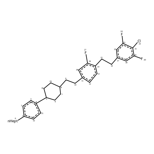 CCCCCCCc1ccc(C2CCC(CCc3ccc(CCc4cc(F)c(Cl)c(F)c4)c(F)c3)CC2)cc1